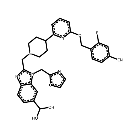 N#Cc1ccc(COc2cccc(C3CCN(Cc4nc5ccc(C(O)O)cc5n4Cc4ncco4)CC3)n2)c(F)c1